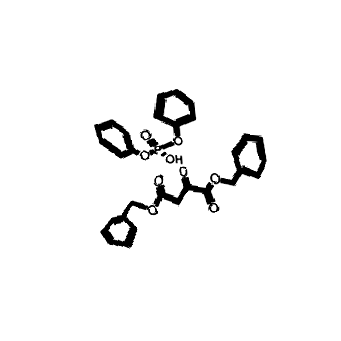 O=C(CC(=O)C(=O)OCc1ccccc1)OCc1ccccc1.O=P(O)(Oc1ccccc1)Oc1ccccc1